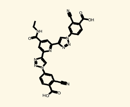 CCNC(=O)c1cc(-c2cn(-c3ccc(C(=O)O)c(C#N)c3)nn2)nc(-c2cn(-c3ccc(C(=O)O)c(C#N)c3)nn2)c1